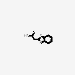 [NH]C(=S)Cc1nc2ccccc2s1